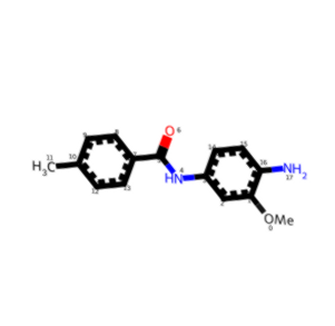 COc1cc(NC(=O)c2ccc(C)cc2)ccc1N